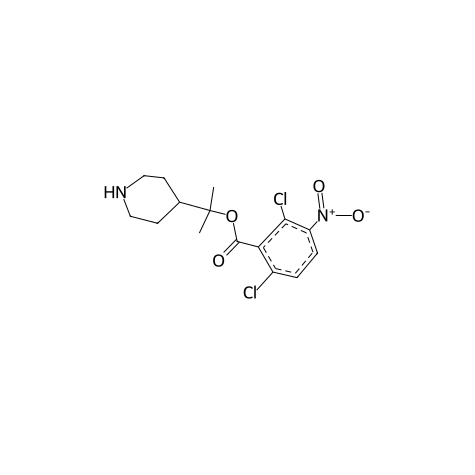 CC(C)(OC(=O)c1c(Cl)ccc([N+](=O)[O-])c1Cl)C1CCNCC1